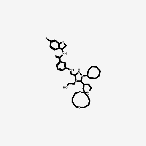 O=C(NC1COc2cc(F)ccc21)c1cccc(NCC2NN(C3CCCCCCC3)C(C3CCNC4(CCCCCCCCCC4)C3)N2CCO)c1